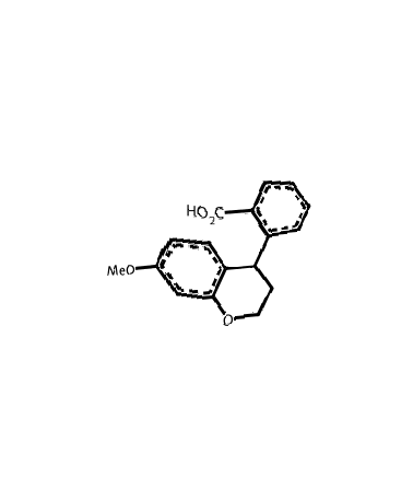 COc1ccc2c(c1)OCCC2c1ccccc1C(=O)O